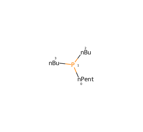 CCCCCP(CCCC)CCCC